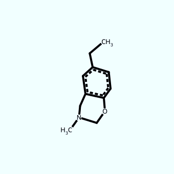 CCc1ccc2c(c1)CN(C)CO2